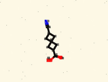 N#CC1CC2(C1)CC(C(=O)O)C2